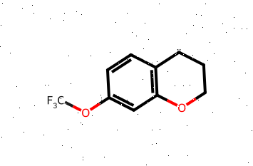 FC(F)(F)Oc1ccc2c(c1)OCC[C]2